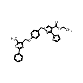 CCOC(=O)c1cn(Cc2ccc(OCc3nc(-c4ccccc4)oc3C)cc2)nc1-c1cccs1